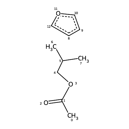 CC(=O)OCC(C)C.c1ccoc1